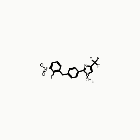 Cn1cc(C(F)(F)F)nc1-c1ccc(Cc2cccc([N+](=O)[O-])c2F)cc1